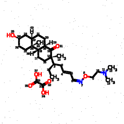 CC[C@H](C/C=C/C=N\OCCN(C)C)[C@@]1(C)CC[C@H]2[C@@H](CC[C@@H]3C[C@@H](O)CC[C@@]32C)C1=O.O=C(O)C(=O)O